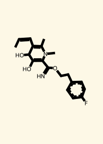 C/C=C\C1=C(C)N(C)C(C(=N)OCCc2ccc(F)cc2)=C(O)C1O